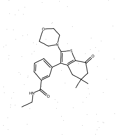 CCNC(=O)c1cccc(-c2c(N3CCOCC3)sc3c2CC(C)(C)CC3=O)c1